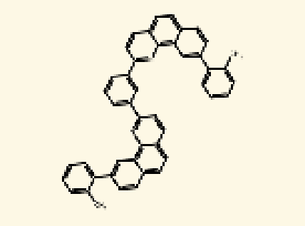 Cc1ccccc1-c1ccc2ccc3ccc(-c4cccc(-c5ccc6ccc7ccc(-c8ccccc8C)cc7c6n5)c4)nc3c2c1